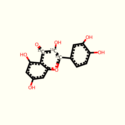 O=[13c]1c2c(O)cc(O)cc2o[13c](-c2ccc(O)c(O)c2)[13c]1O